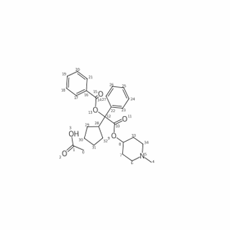 CC(=O)O.CN1CCC(OC(=O)C(OC(=O)c2ccccc2)(c2ccccc2)C2CCCC2)CC1